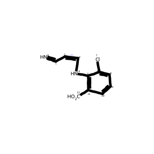 N=C/C=C\Nc1c(Cl)cccc1C(=O)O